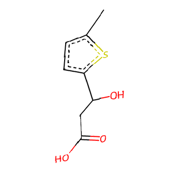 Cc1ccc(C(O)CC(=O)O)s1